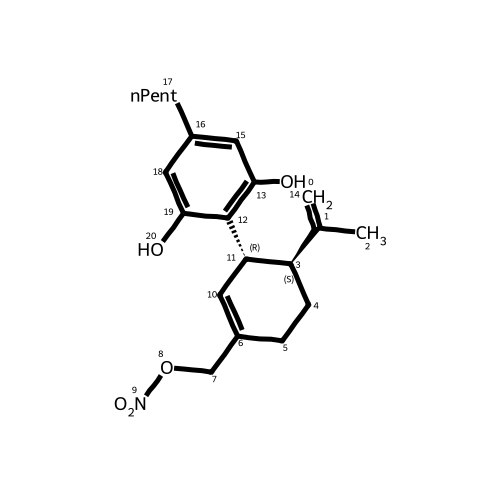 C=C(C)[C@H]1CCC(CO[N+](=O)[O-])=C[C@@H]1c1c(O)cc(CCCCC)cc1O